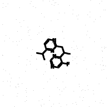 CC(C)c1ccnc(CC(C)c2ncncc2F)n1